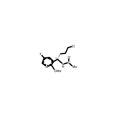 COc1ncc(F)cc1[C@H](CCCCl)N[S+]([O-])C(C)(C)C